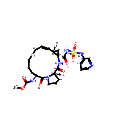 CC(C)(C)OC(=O)N[C@H]1CCCCC/C=C\[C@@H]2C[C@@]2(C(=O)NS(=O)(=O)Nc2cccnc2)NC(=O)[C@@H]2CCCN2C1=O